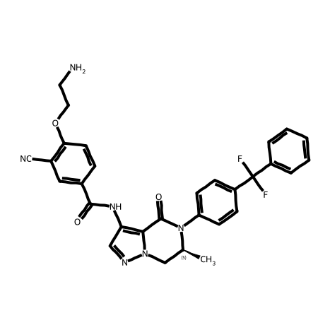 C[C@H]1Cn2ncc(NC(=O)c3ccc(OCCN)c(C#N)c3)c2C(=O)N1c1ccc(C(F)(F)c2ccccc2)cc1